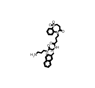 NCCCNC(=O)[C@@H](Cc1ccc2ccccc2c1)NC(=O)CCCN1C(=O)CCS(=O)(=O)c2ccccc21